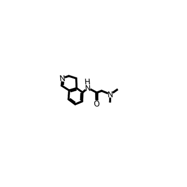 CN(C)CC(=O)Nc1cccc2c1CCN=C2